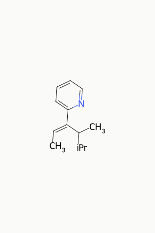 C/C=C(/c1ccccn1)C(C)C(C)C